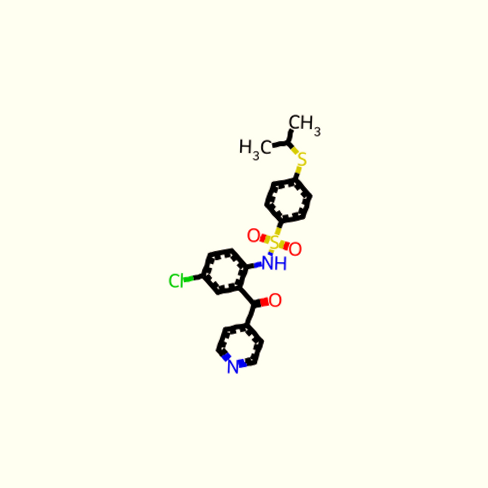 CC(C)Sc1ccc(S(=O)(=O)Nc2ccc(Cl)cc2C(=O)c2ccncc2)cc1